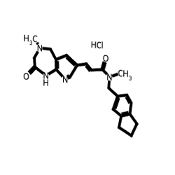 CN1CC(=O)Nc2ncc(/C=C/C(=O)N(C)Cc3ccc4c(c3)CCC4)cc2C1.Cl